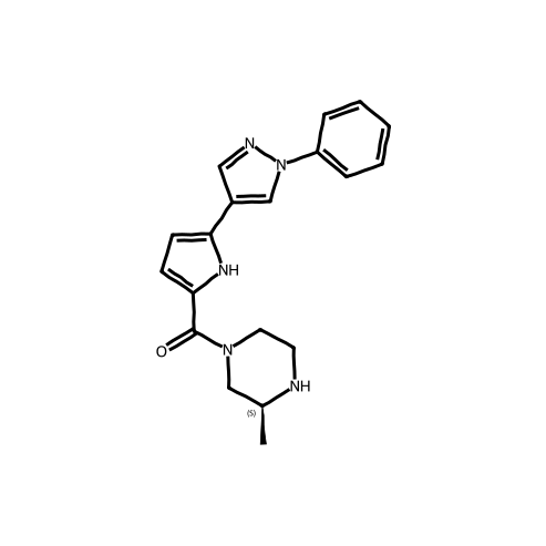 C[C@H]1CN(C(=O)c2ccc(-c3cnn(-c4ccccc4)c3)[nH]2)CCN1